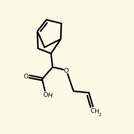 C=CCOC(C(=O)O)C1CC2=CCC1C2